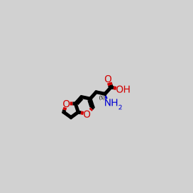 N[C@@H](CC1=COC2CCOC2=C1)C(=O)O